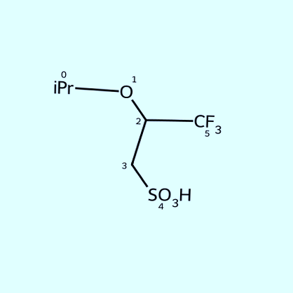 CC(C)OC(CS(=O)(=O)O)C(F)(F)F